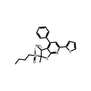 CCCC[SH](=O)(I)C1(C)Sc2nc(-c3cccs3)cc(-c3ccccc3)c2C1N